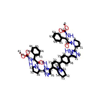 COC(=O)N[C@H](C(=O)N1CCC[C@H]1c1ncc(-c2ccc(-c3ccc(-c4cnc([C@@H]5CCCN5C(=O)[C@@H](NC(=O)OC)c5ccccc5)[nH]4)c4c3C3CCC4N3C)cc2)[nH]1)c1ccccc1